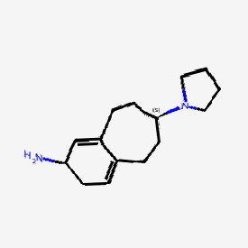 NC1C=C2CC[C@@H](N3CCCC3)CCC2=CC1